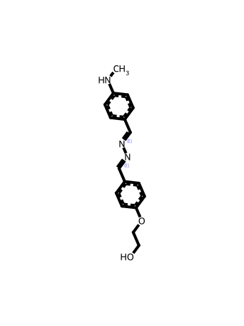 CNc1ccc(/C=N/N=C/c2ccc(OCCO)cc2)cc1